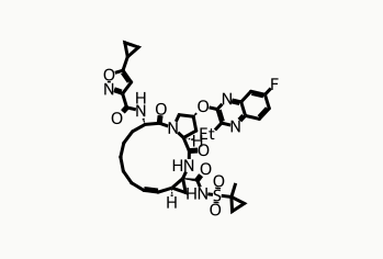 CCc1nc2ccc(F)cc2nc1O[C@@H]1C[C@H]2C(=O)N[C@]3(C(=O)NS(=O)(=O)C4(C)CC4)C[C@H]3/C=C\CCCCC[C@H](NC(=O)c3cc(C4CC4)on3)C(=O)N2C1